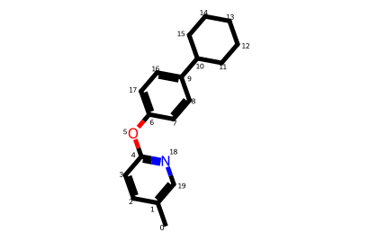 Cc1ccc(Oc2ccc(C3CCCCC3)cc2)nc1